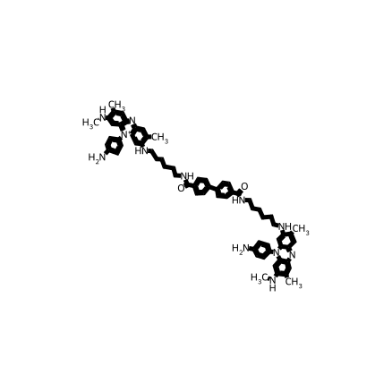 CNc1cc2c(cc1C)N=C1C=C(C)C(NCCCCCCNC(=O)c3ccc(-c4ccc(C(=O)NCCCCCCNc5cc6c(cc5C)nc5cc(C)c(NC)cc5[n+]6-c5ccc(N)cc5)cc4)cc3)=CC1N2c1ccc(N)cc1